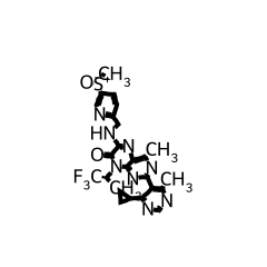 Cc1ncnc(C2CC2)c1-c1nc(C)c2nc(NCc3ccc([S+](C)[O-])cn3)c(=O)n([C@@H](C)C(F)(F)F)c2n1